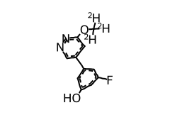 [2H]C([2H])([2H])Oc1cc(-c2cc(O)cc(F)c2)cnn1